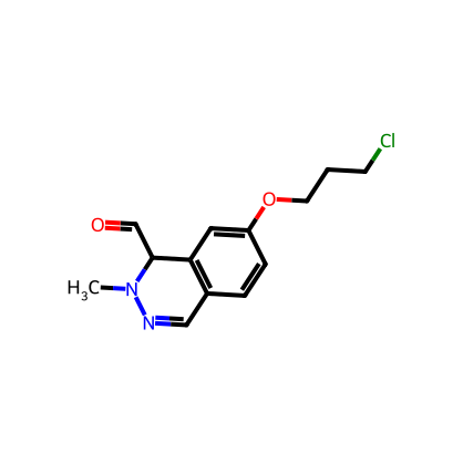 CN1N=Cc2ccc(OCCCCl)cc2C1C=O